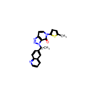 Cc1ccc(-n2ccc3nnn([C@H](C)c4ccc5ncccc5c4)c3c2=O)s1